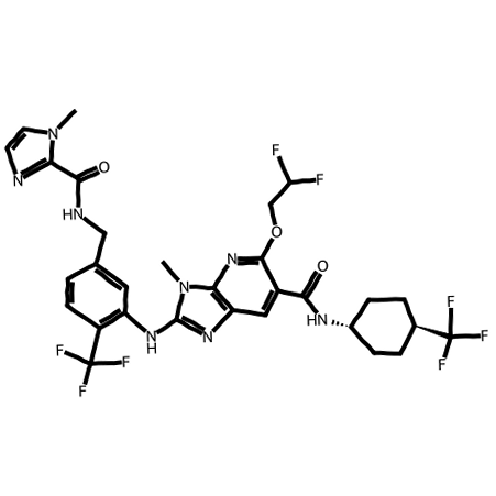 Cn1ccnc1C(=O)NCc1ccc(C(F)(F)F)c(Nc2nc3cc(C(=O)N[C@H]4CC[C@H](C(F)(F)F)CC4)c(OCC(F)F)nc3n2C)c1